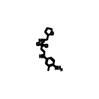 Cc1cc(NCCS(=O)(=O)NCC2CCCO2)ccc1N